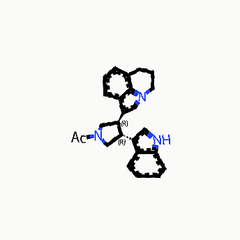 CC(=O)N1C[C@@H](c2c[nH]c3ccccc23)[C@H](c2cn3c4c(cccc24)CCC3)C1